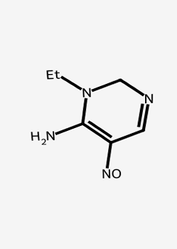 CCN1CN=CC(N=O)=C1N